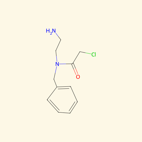 NCCN(Cc1ccccc1)C(=O)CCl